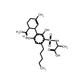 C=C(C)C1CCC(C)=CC1c1c(O)cc(CCCCC)c(S(=O)(=O)NC(C)C(=O)O)c1O